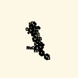 C=CC(=O)N1CCO[C@H]2CN(C(=O)N(C)[C@H](C(=O)N[C@@H](CC)C(=O)N3CCC[C@@H](C(=O)OCC(C)(C)Cc4c(-c5cccnc5[C@H](C)OC)n(CC)c5ccc(N6CCOCC6)cc45)N3)C(C)C)C[C@H]21